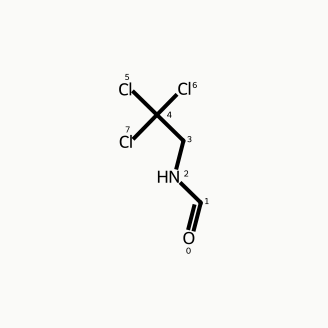 O=CNCC(Cl)(Cl)Cl